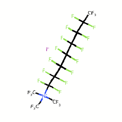 FC(F)(F)C(F)(F)C(F)(F)C(F)(F)C(F)(F)C(F)(F)C(F)(F)C(F)(F)[N+](C(F)(F)F)(C(F)(F)F)C(F)(F)F.[I-]